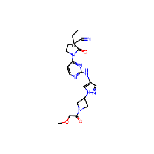 CC[C@]1(C#N)CCN(c2ccnc(Nc3cnn(C4CN(C(=O)COC)C4)c3)n2)C1=O